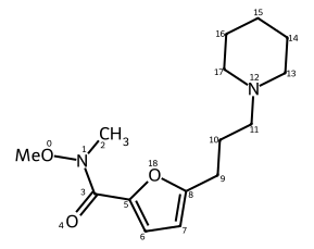 CON(C)C(=O)c1ccc(CCCN2CCCCC2)o1